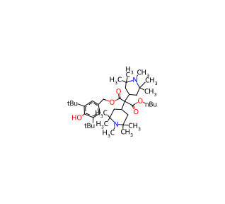 CCCCOC(=O)C(C(=O)OCc1cc(C(C)(C)C)c(O)c(C(C)(C)C)c1)(C1CC(C)(C)N(C)C(C)(C)C1)C1CC(C)(C)N(C)C(C)(C)C1